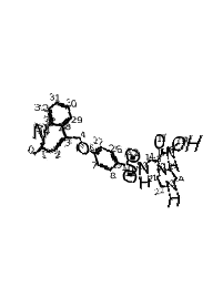 Cc1cc(COc2ccc(S(=O)(=O)NCC(C(=O)NO)N3CCNCC3)cc2)c2ccccc2n1